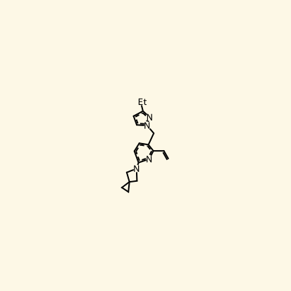 C=Cc1nc(N2CC3(CC3)C2)ccc1Cn1ccc(CC)n1